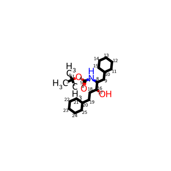 CC(C)(C)OC(=O)NC(CC1CCCCC1)C(O)CCC1CCCCC1